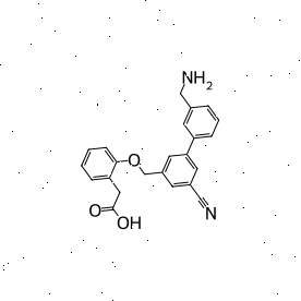 N#Cc1cc(COc2ccccc2CC(=O)O)cc(-c2cccc(CN)c2)c1